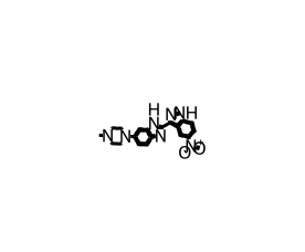 CN1CCN(c2ccc3nc(-c4n[nH]c5ccc([N+](=O)[O-])cc45)[nH]c3c2)CC1